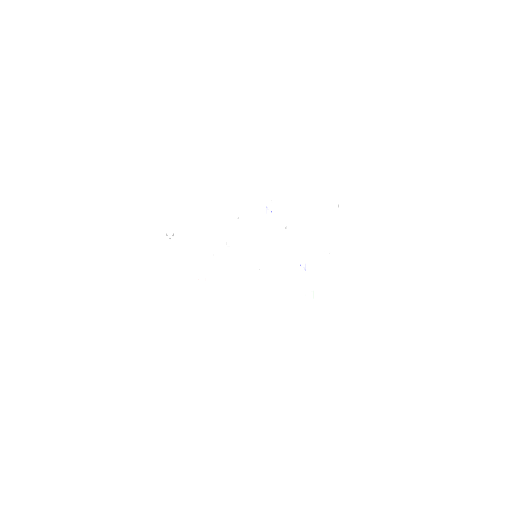 COC(=O)c1cnc2c(Cl)cn(Cl)c2c1